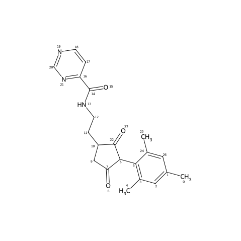 Cc1cc(C)c(C2C(=O)CC(CCNC(=O)c3ccncn3)C2=O)c(C)c1